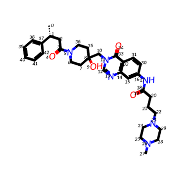 C[C@H](CC(=O)N1CCC(O)(Cn2cnc3cc(NC(=O)CCCN4CCN(C)CC4)ccc3c2=O)CC1)c1ccccc1